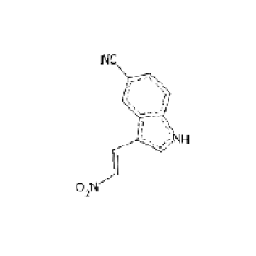 N#Cc1ccc2[nH]cc(C=C[N+](=O)[O-])c2c1